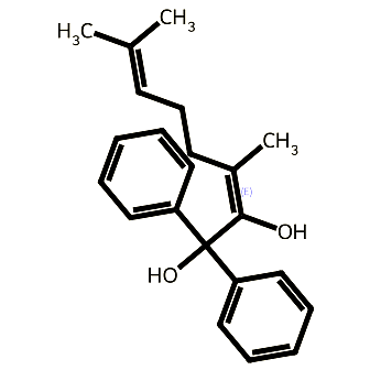 CC(C)=CCC/C(C)=C(/O)C(O)(c1ccccc1)c1ccccc1